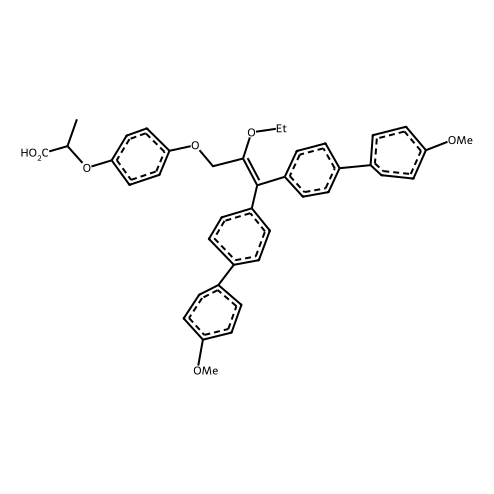 CCOC(COc1ccc(OC(C)C(=O)O)cc1)=C(c1ccc(-c2ccc(OC)cc2)cc1)c1ccc(-c2ccc(OC)cc2)cc1